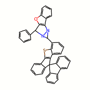 c1ccc(C2c3oc4ccccc4c3N3C(c4cccc5c6c(sc45)-c4ccccc4C64c5ccccc5-c5ccccc54)N23)cc1